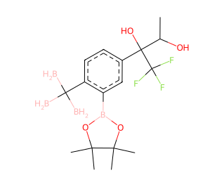 BC(B)(B)c1ccc(C(O)(C(C)O)C(F)(F)F)cc1B1OC(C)(C)C(C)(C)O1